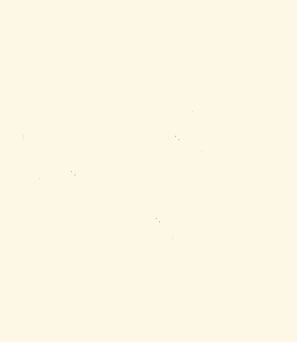 C[C@@H](C(=O)N1CCC(c2cn(C)c3ccc(NS(=O)(=O)c4ccc(F)cc4)cc23)CC1)C1CCCC1